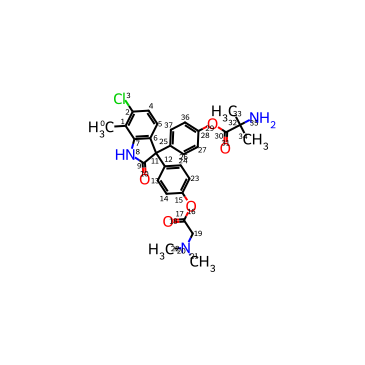 Cc1c(Cl)ccc2c1NC(=O)C2(c1ccc(OC(=O)CN(C)C)cc1)c1ccc(OC(=O)C(C)(C)N)cc1